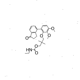 CCNC(=O)OCC(C)(C)COc1c(-c2cccc3c2CCC3=O)ccc(OC)c1OC